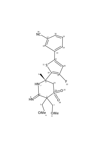 COCC1(COC)C(=N)N[C@](C)(c2sc(-c3cccc(C#N)c3)cc2F)CS1(=O)=O